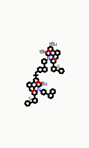 CC(C)(C)c1cc(-c2cccc3cccc(-c4ccccc4N(c4cccc(-c5cccc6cc(CC(C)(C)c7cc(-c8cccc9cccc(-c%10ccccc%10N(c%10ccc(-c%11cccc%12ccccc%11%12)cc%10)c%10cccc(-c%11cccc%12c%11sc%11ccccc%11%12)c%10)c89)cc(C(C)(C)C)c7)ccc56)c4)c4cccc(-c5cccc6c5sc5ccccc56)c4)c23)cc(C(C)(C)C)c1